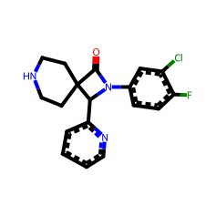 O=C1N(c2ccc(F)c(Cl)c2)C(c2ccccn2)C12CCNCC2